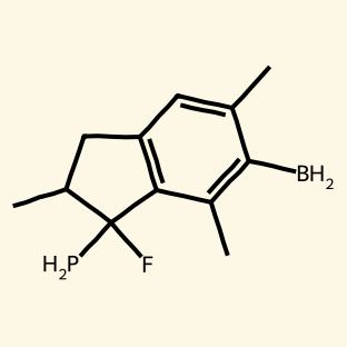 Bc1c(C)cc2c(c1C)C(F)(P)C(C)C2